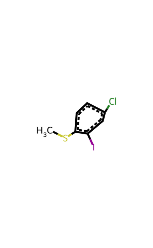 CSc1ccc(Cl)cc1I